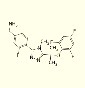 Cn1c(-c2ccc(CN)cc2F)nnc1C(C)(C)Oc1c(F)cc(F)cc1F